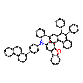 c1ccc(-c2c(-c3ccccc3)c3cc(-c4ccccc4N(c4ccc(-c5cccc6c5ccc5ccccc56)cc4)c4ccc5oc6ccccc6c5c4)ccc3c3ccccc23)cc1